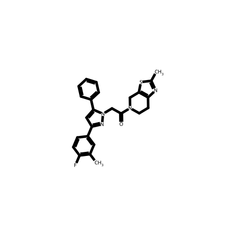 Cc1nc2c(s1)CN(C(=O)Cn1nc(-c3ccc(F)c(C)c3)cc1-c1ccccc1)CC2